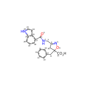 O=C(NCC1=NOC(Cc2ccccc2)(C(=O)O)C1)c1cccc2[nH]ccc12